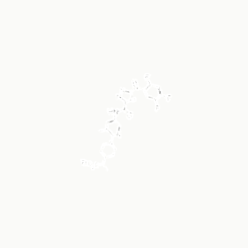 CCOC(=O)C(C)C1CCN(c2ncc(NC(=O)c3nnc(Nc4cc(F)c(F)cc4F)o3)cc2C)CC1